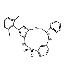 Cc1cccc(C)c1-c1cc2nc(n1)NS(=O)(=O)c1cccc(c1)N[C@@H](c1ccccc1)CO2